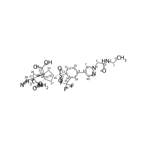 CCNC(=O)Cn1cc(-c2ccc(S(=O)(=O)[C@@H]3C[C@H](OC)[C@@](C(=O)O)(C4CC4(C#N)C(N)=O)C3)c(C(F)(F)F)c2)cn1